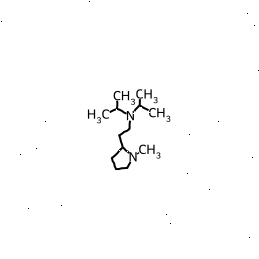 CC(C)N(CCC1CCCN1C)C(C)C